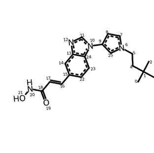 CC(C)(C)CCn1ccc(-n2cnc3cc(C=CC(=O)NO)ccc32)c1